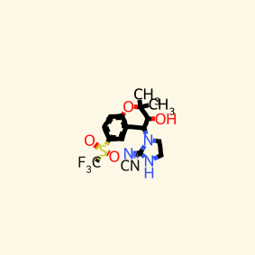 CC1(C)Oc2ccc(S(=O)(=O)C(F)(F)F)cc2C(N2CCN/C2=N\C#N)C1O